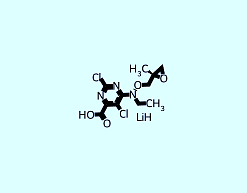 CCN(OC[C@]1(C)CO1)c1nc(Cl)nc(C(=O)O)c1Cl.[LiH]